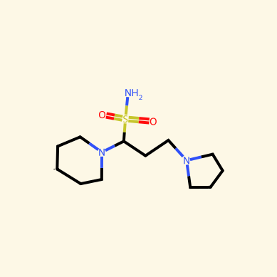 NS(=O)(=O)C(CCN1CCCC1)N1CC[CH]CC1